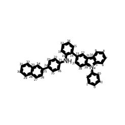 c1ccc(-n2c3ccccc3c3cc(-c4ccccc4Nc4ccc(-c5ccc6ccccc6c5)cc4)ccc32)cc1